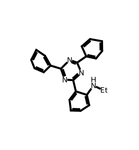 CCNc1ccccc1-c1nc(-c2ccccc2)nc(-c2ccccc2)n1